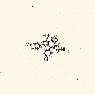 CN/C=C(\C=N)c1ccc2c(c1)C(C1=CC=C(Cl)CC1)=N[C@@H](CC(N)=O)c1onc(C)c1-2